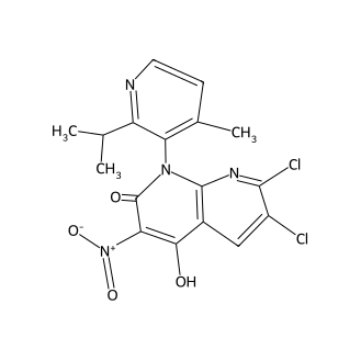 Cc1ccnc(C(C)C)c1-n1c(=O)c([N+](=O)[O-])c(O)c2cc(Cl)c(Cl)nc21